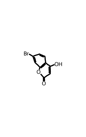 O=c1cc(O)c2ccc(Br)cc2o1